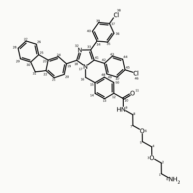 NCCOCCOCCNC(=O)c1ccc(Cn2c(-c3ccc4c(c3)-c3ccccc3C4)nc(-c3ccc(Cl)cc3)c2-c2ccc(Cl)cc2)cc1